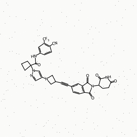 N#Cc1ccc(NC(=O)C2(n3cc(N4CC(C#Cc5ccc6c(c5)C(=O)N(C5CCC(=O)NC5=O)C6=O)C4)cn3)CCC2)cc1C(F)(F)F